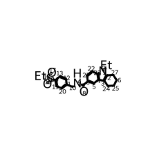 CCn1c2c(c3cc(C(=O)NCc4ccc(S(=O)(=O)CC)cc4)ccc31)CCCC2